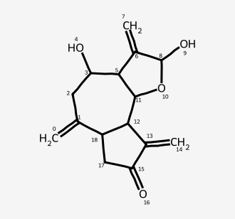 C=C1CC(O)C2C(=C)C(O)OC2C2C(=C)C(=O)CC12